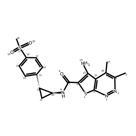 Cc1nnc2sc(C(=O)N[C@H]3C[C@@H]3c3ccc(S(C)(=O)=O)cc3)c(N)c2c1C